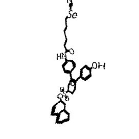 N#C[Se]CCCCCC(=O)Nc1ccc(C2=C(c3ccc(O)cc3)C3CC(S(=O)(=O)Oc4ccc5ccccc5c4)C2O3)cc1